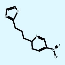 O=[N+]([O-])C1=CCC(CCCc2ncco2)N=C1